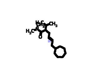 CC(C)C(C/C=C/CC1CCCCCC1)C(=O)N(C)C